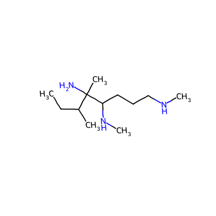 CCC(C)C(C)(N)C(CCCNC)NC